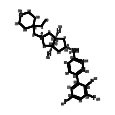 CCC1(CN2C[C@H]3C[C@H](Nc4ccc(-c5cc(F)cc(F)c5F)nn4)C[C@H]3C2)CCOCC1